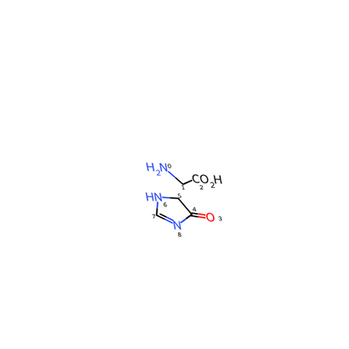 NCC(=O)O.O=C1CNC=N1